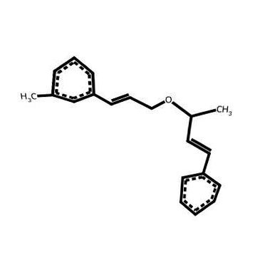 Cc1cccc(/C=C/COC(C)/C=C/c2ccccc2)c1